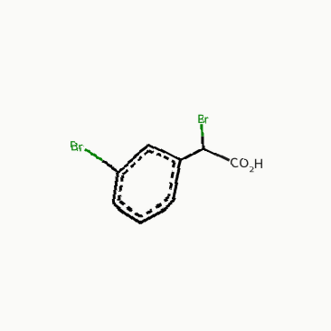 O=C(O)C(Br)c1cccc(Br)c1